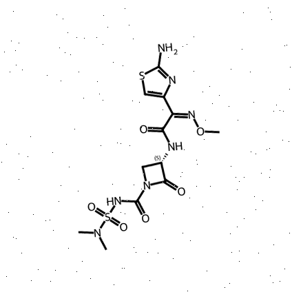 CON=C(C(=O)N[C@H]1CN(C(=O)NS(=O)(=O)N(C)C)C1=O)c1csc(N)n1